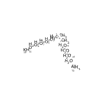 O.O.O.O.O.O.O.O.O.O.O.O.[AlH3].[KH]